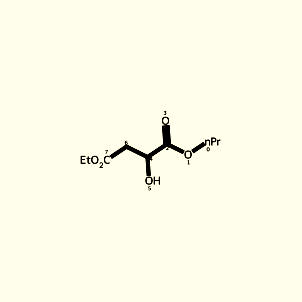 CCCOC(=O)C(O)CC(=O)OCC